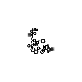 CC(C)(C)OC(=O)NCCCC[C@H](NC(=O)OCc1ccccc1)C(=O)N1CCc2cccc(OC[C@H]3CCCN3c3ncnc4[nH]cnc34)c2C1